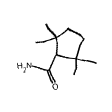 CC1(C)CCC(C)(C)C1C(N)=O